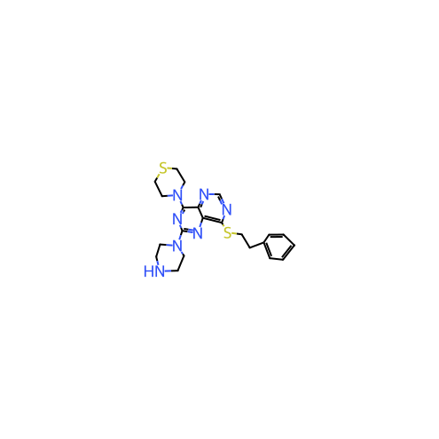 c1ccc(CCSc2ncnc3c(N4CCSCC4)nc(N4CCNCC4)nc23)cc1